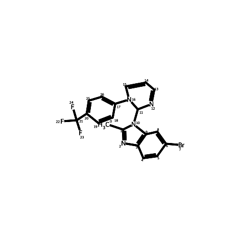 Cc1nc2ccc(Br)cc2n1C1N=CC=CN1c1ccc(C(F)(F)F)cc1